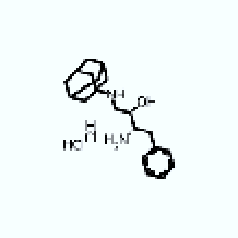 Cl.Cl.N[C@@H](Cc1ccccc1)[C@H](O)CNC12CC3CC(CC(C3)C1)C2